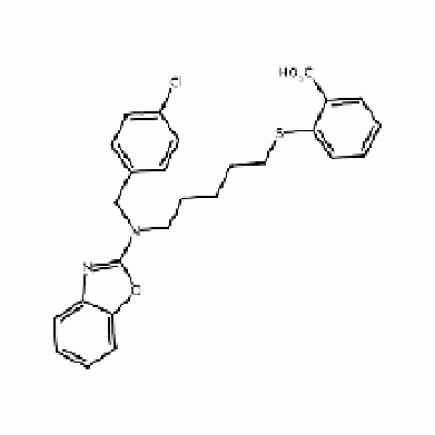 O=C(O)c1ccccc1SCCCCCN(Cc1ccc(Cl)cc1)c1nc2ccccc2o1